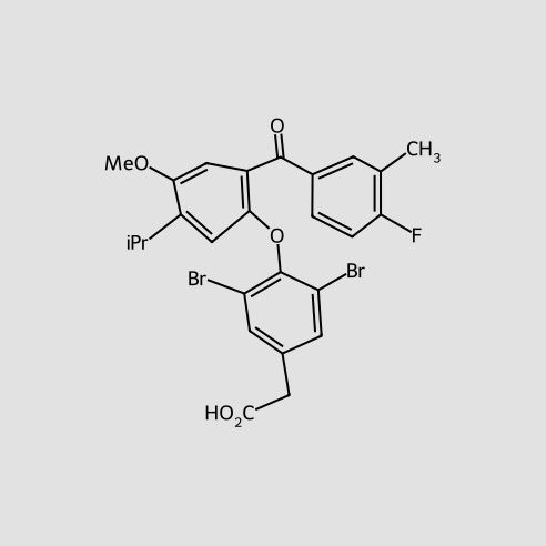 COc1cc(C(=O)c2ccc(F)c(C)c2)c(Oc2c(Br)cc(CC(=O)O)cc2Br)cc1C(C)C